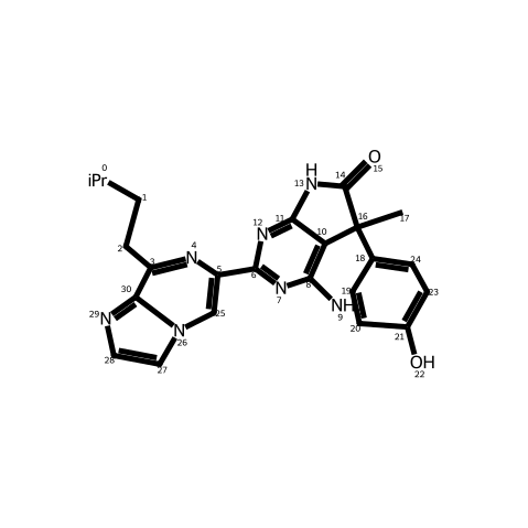 CC(C)CCc1nc(-c2nc(N)c3c(n2)NC(=O)C3(C)c2ccc(O)cc2)cn2ccnc12